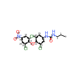 CCCNC(=O)Nc1cc(Cl)c(Oc2ccc([N+](=O)[O-])cc2Cl)c(Cl)c1